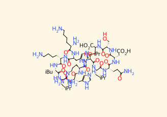 CC[C@H](C)[C@H](NC(=O)[C@H](CCCCN)NC(=O)[C@H](Cc1cnc[nH]1)NC(=O)[C@@H](N)CCCCN)C(=O)N[C@@H](CC(C)C)C(=O)N[C@@H](Cc1cnc[nH]1)C(=O)N[C@@H](CCCN=C(N)N)C(=O)N[C@@H](CC(C)C)C(=O)N[C@@H](CC(C)C)C(=O)N[C@@H](CCC(N)=O)C(=O)N[C@@H](CC(=O)O)C(=O)N[C@@H](CO)C(=O)N[C@@H](CO)C(=O)O